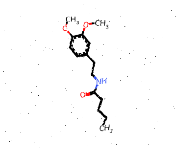 CCC[CH]C(=O)NCCc1ccc(OC)c(OC)c1